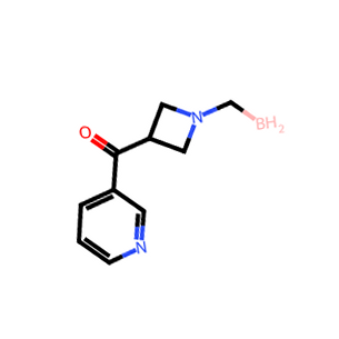 BCN1CC(C(=O)c2cccnc2)C1